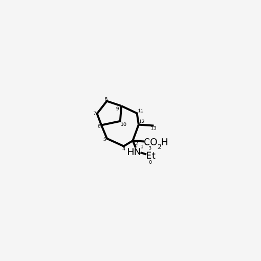 CCNC1(C(=O)O)CCC2CCC(C2)CC1C